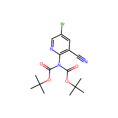 CC(C)(C)OC(=O)N(C(=O)OC(C)(C)C)c1ncc(Br)cc1C#N